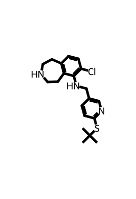 CC(C)(C)Sc1ccc(CNc2c(Cl)ccc3c2CCNCC3)cn1